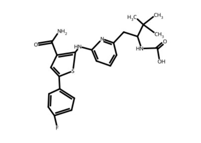 CC(C)(C)C(Cc1cccc(Nc2sc(-c3ccc(F)cc3)cc2C(N)=O)n1)NC(=O)O